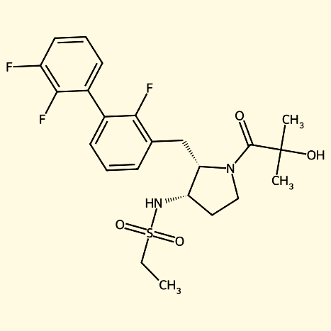 CCS(=O)(=O)N[C@H]1CCN(C(=O)C(C)(C)O)[C@H]1Cc1cccc(-c2cccc(F)c2F)c1F